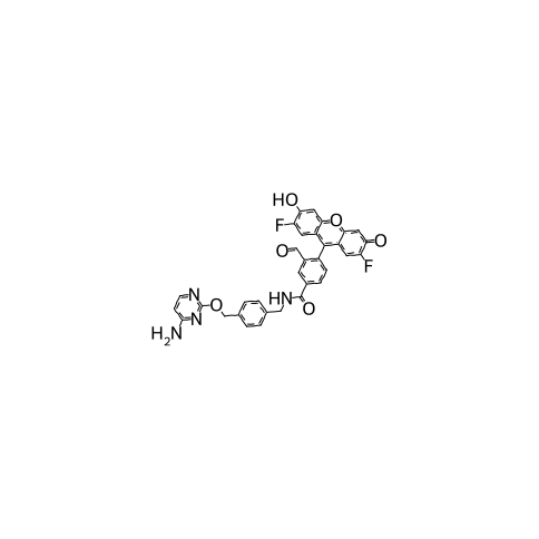 Nc1ccnc(OCc2ccc(CNC(=O)c3ccc(-c4c5cc(F)c(=O)cc-5oc5cc(O)c(F)cc45)c(C=O)c3)cc2)n1